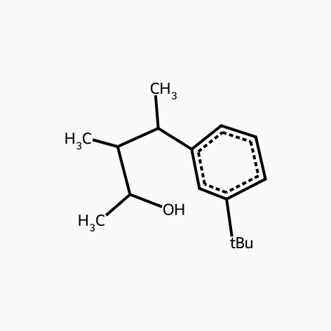 CC(O)C(C)C(C)c1cccc(C(C)(C)C)c1